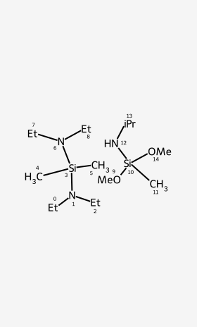 CCN(CC)[Si](C)(C)N(CC)CC.CO[Si](C)(NC(C)C)OC